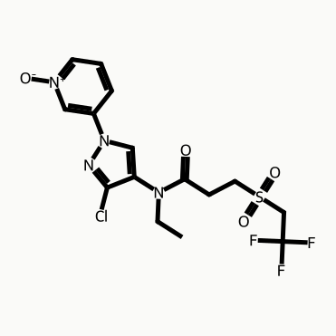 CCN(C(=O)CCS(=O)(=O)CC(F)(F)F)c1cn(-c2ccc[n+]([O-])c2)nc1Cl